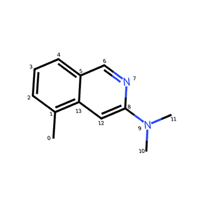 Cc1cccc2cnc(N(C)C)cc12